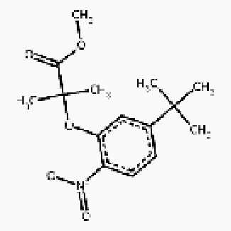 COC(=O)C(C)(C)Oc1cc(C(C)(C)C)ccc1[N+](=O)[O-]